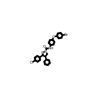 O=C(Nc1ccc(Oc2ccc(Br)cc2)cc1)N1CC(c2ccccc2)C(c2ccc(Cl)cc2)=N1